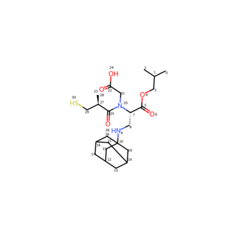 CC(C)COC(=O)[C@H](CNC12CC3CC(CC(C3)C1)C2)N(CC(=O)O)C(=O)[C@H](C)CS